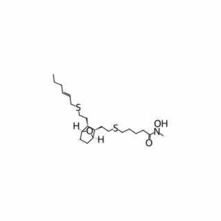 CCCC=CCSCC[C@H]1[C@@H](CCSCCCCC(=O)N(C)O)[C@H]2CC[C@@H]1O2